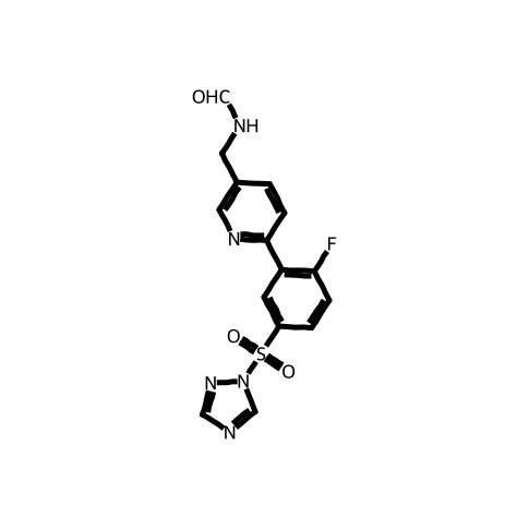 O=CNCc1ccc(-c2cc(S(=O)(=O)n3cncn3)ccc2F)nc1